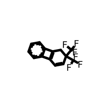 FC(F)(F)C1(C(F)(F)F)C=CC2=C(C1)c1ccccc12